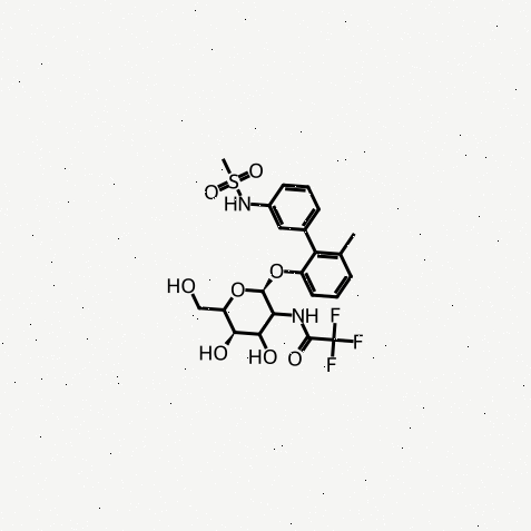 Cc1cccc(O[C@@H]2OC(CO)[C@H](O)C(O)C2NC(=O)C(F)(F)F)c1-c1cccc(NS(C)(=O)=O)c1